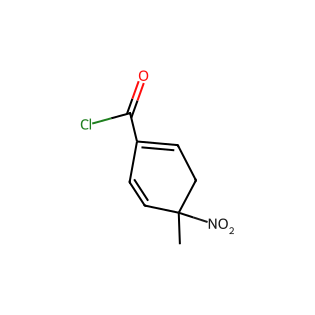 CC1([N+](=O)[O-])C=CC(C(=O)Cl)=CC1